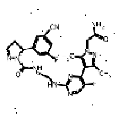 Cc1nn(CC(N)=O)c(C)c1-c1nc(NCCNC(=O)N2N=CC[C@H]2c2cc(F)cc(C#N)c2)ncc1F